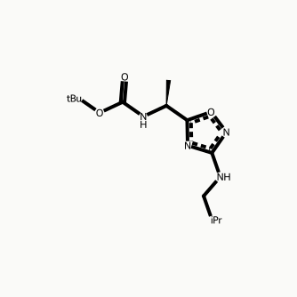 CC(C)CNc1noc([C@H](C)NC(=O)OC(C)(C)C)n1